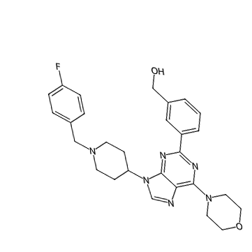 OCc1cccc(-c2nc(N3CCOCC3)c3ncn(C4CCN(Cc5ccc(F)cc5)CC4)c3n2)c1